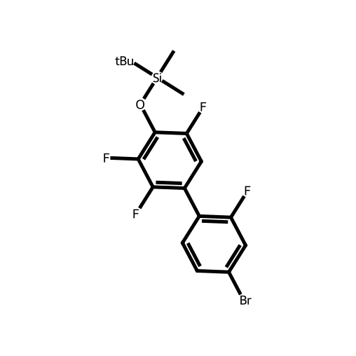 CC(C)(C)[Si](C)(C)Oc1c(F)cc(-c2ccc(Br)cc2F)c(F)c1F